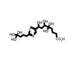 O=C(O)CCCC(O)(O)C(O)CC(O)c1cnc(CCCC(O)(O)O)cn1